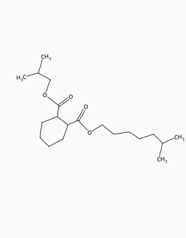 CC(C)CCCCCOC(=O)C1CCCCC1C(=O)OCC(C)C